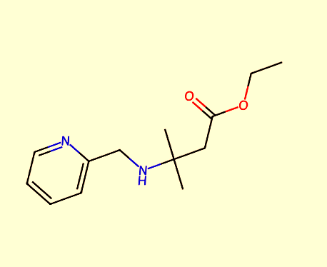 CCOC(=O)CC(C)(C)NCc1ccccn1